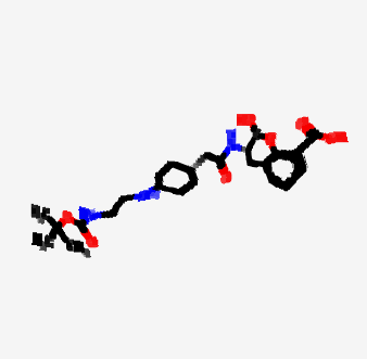 CC(C)(C)OC(=O)NCCN[C@H]1CC[C@H](CC(=O)N[C@H]2Cc3cccc(C(=O)O)c3OB2O)CC1